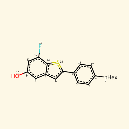 CCCCCCc1ccc(-c2cc3cc(O)cc(F)c3s2)cc1